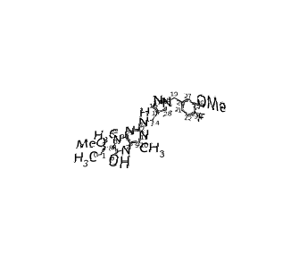 CC=C(OC)[C@H]1C(=O)Nc2c(C)nc(NCc3cnn(Cc4ccc(F)c(OC)c4)c3)nc2N1C